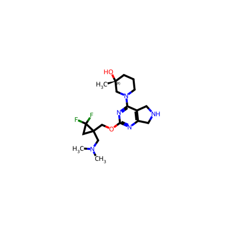 CN(C)CC1(COc2nc3c(c(N4CCC[C@@](C)(O)C4)n2)CNC3)CC1(F)F